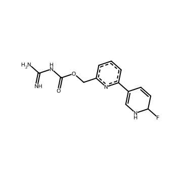 N=C(N)NC(=O)OCc1cccc(C2=CNC(F)C=C2)n1